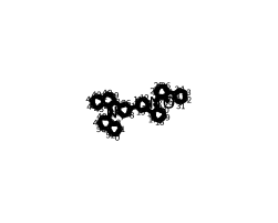 c1ccc2c(-n3c4ccc(-c5ccc6c(c5)c5ccccc5n6-c5cccc6c5oc5ccccc56)cc4c4ccc5ccccc5c43)cccc2c1